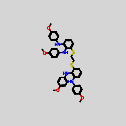 COc1ccc(Nc2cccc(SCCSc3cccc(Nc4ccc(OC)cc4)c3Nc3ccc(OC)cc3)c2Nc2ccc(OC)cc2)cc1